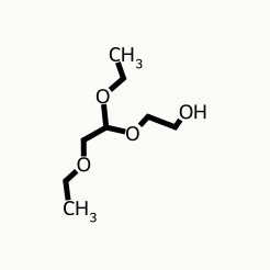 CCOCC(OCC)OCCO